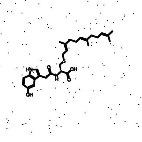 CC(C)=CCC/C(C)=C/CC/C(C)=C/CSC[C@H](NC(=O)Cc1c[nH]c2ccc(O)cc12)C(=O)O